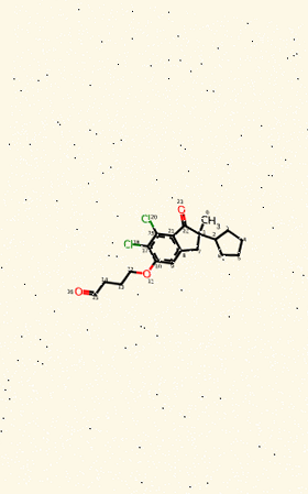 CC1(C2CCCC2)Cc2cc(OCCCC=O)c(Cl)c(Cl)c2C1=O